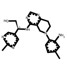 Cc1ccc(N2CCc3ncnc(N[C@H](CO)c4cnc(C)nc4)c3C2)c(N)c1